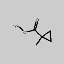 CC1(C(=O)OC(F)(F)F)CC1